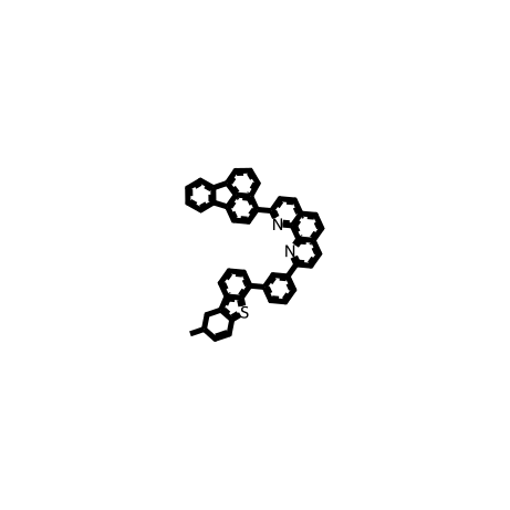 CC1C=Cc2sc3c(-c4cccc(-c5ccc6ccc7ccc(-c8ccc9c%10c(cccc8%10)-c8ccccc8-9)nc7c6n5)c4)cccc3c2C1